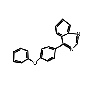 c1ccc(Oc2ccc(-c3ncnc4ccccc34)cc2)cc1